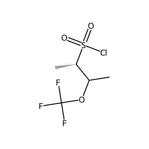 CC(OC(F)(F)F)[C@H](C)S(=O)(=O)Cl